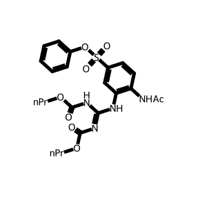 CCCOC(=O)/N=C(\NC(=O)OCCC)Nc1cc(S(=O)(=O)Oc2ccccc2)ccc1NC(C)=O